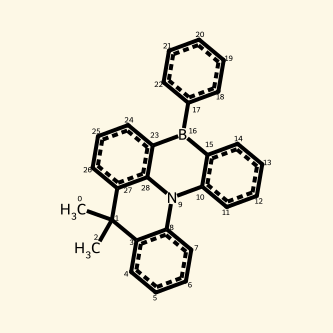 CC1(C)c2ccccc2N2c3ccccc3B(c3ccccc3)c3cccc1c32